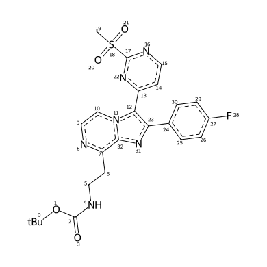 CC(C)(C)OC(=O)NCCc1nccn2c(-c3ccnc(S(C)(=O)=O)n3)c(-c3ccc(F)cc3)nc12